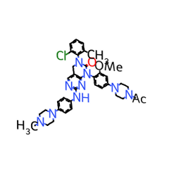 COc1cc(N2CCN(C(C)=O)CC2)ccc1N1C(=O)N(c2c(C)cccc2Cl)Cc2cnc(Nc3ccc(N4CCN(C)CC4)cc3)nc21